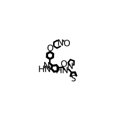 O=CN1CCC(Oc2ccc(-c3n[nH]c4ccc(C(=O)NC(c5ccsc5)N5CCCC5)cc34)cc2)CC1